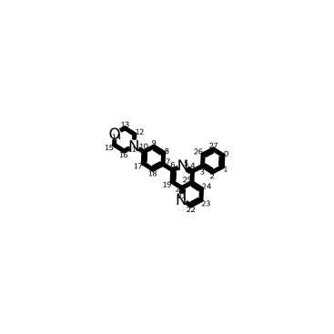 c1ccc(-c2nc(-c3ccc(N4CCOCC4)cc3)cc3ncccc23)cc1